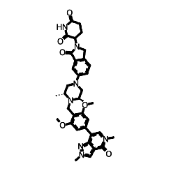 COc1cc(-c2cn(C)c(=O)c3cn(C)nc23)cc(OC)c1CN1[C@H](C)CN(c2ccc3c(c2)C(=O)N(C2CCC(=O)NC2=O)C3)C[C@H]1C